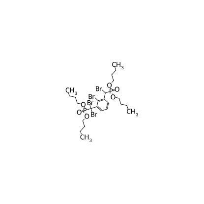 CCCCOP(=O)(OCCCC)C(Br)c1cccc(C(Br)(Br)P(=O)(OCCCC)OCCCC)c1Br